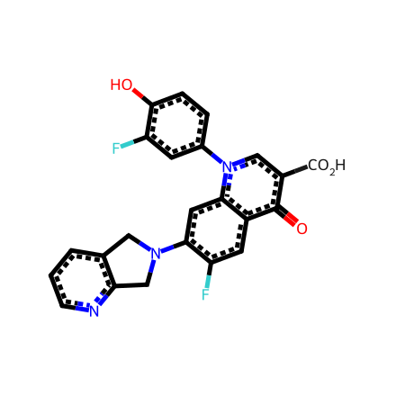 O=C(O)c1cn(-c2ccc(O)c(F)c2)c2cc(N3Cc4cccnc4C3)c(F)cc2c1=O